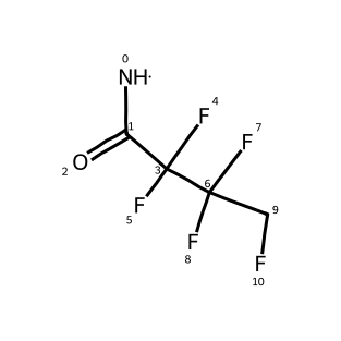 [NH]C(=O)C(F)(F)C(F)(F)CF